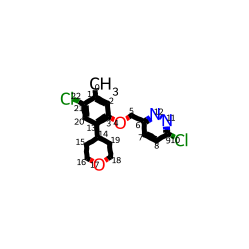 Cc1cc(OCc2ccc(Cl)nn2)c(C2CCOCC2)cc1Cl